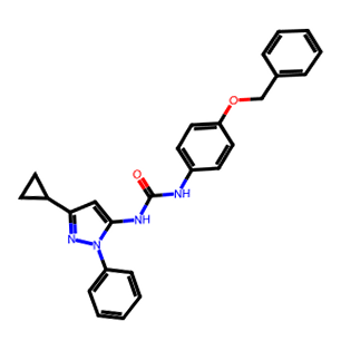 O=C(Nc1ccc(OCc2ccccc2)cc1)Nc1cc(C2CC2)nn1-c1ccccc1